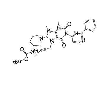 CC#CCN1c2c(n(C)c(=O)n(-c3ccnc(-c4ccccc4)n3)c2=O)N(C)C1N1CCC[C@@H](NC(=O)OC(C)(C)C)C1